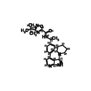 CC(NC(=O)c1nc(C(C)(C)C)no1)c1ccc(-c2ccnc3[nH]nc(N4CCCCC4)c23)cc1